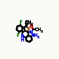 C=CCC1CNc2ccccc2C1(SC(=C)c1cc(F)ccc1F)N(N)C(C)=O